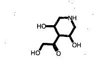 O=C(CO)C1C(O)CNCC1O